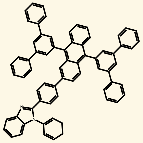 C1=CC(n2c(-c3ccc(-c4ccc5c(-c6cc(-c7ccccc7)cc(-c7ccccc7)c6)c6ccccc6c(-c6cc(-c7ccccc7)cc(-c7ccccc7)c6)c5c4)cc3)nc3ccccc32)=CCC1